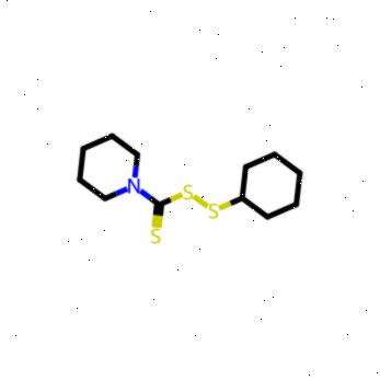 S=C(SSC1CCCCC1)N1CCCCC1